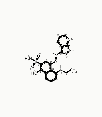 CCNc1cccc2c(O)c(S(N)(=O)=O)cc(/N=N/c3snc4ncccc34)c12